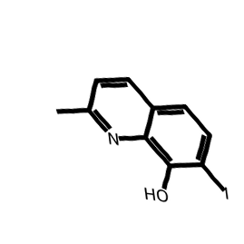 Cc1ccc2ccc(I)c(O)c2n1